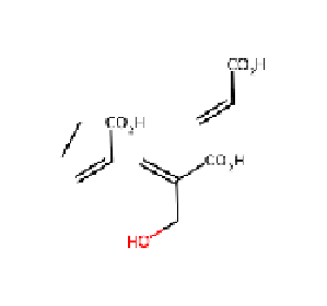 C=C(CO)C(=O)O.C=CC(=O)O.C=CC(=O)O.CC